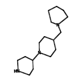 C1CCN(CC2CCN(C3CCNCC3)CC2)CC1